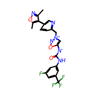 Cc1noc(C)c1-c1ccc(C[n+]2cc([N-]C(=O)Nc3cc(F)cc(C(F)(F)F)c3)on2)nc1